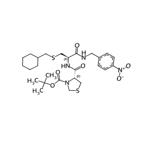 CC(C)(C)OC(=O)N1CSC[C@H]1C(=O)N[C@@H](CSCC1CCCCC1)C(=O)NCc1ccc([N+](=O)[O-])cc1